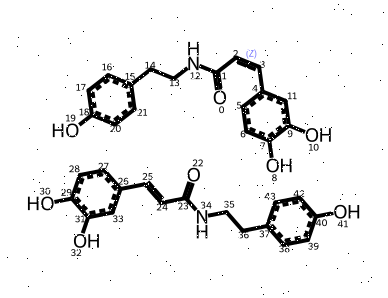 O=C(/C=C\c1ccc(O)c(O)c1)NCCc1ccc(O)cc1.O=C(C=Cc1ccc(O)c(O)c1)NCCc1ccc(O)cc1